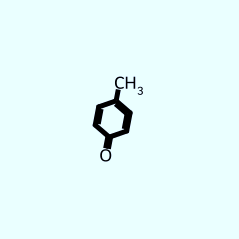 CC1=C=CC(=O)C=C1